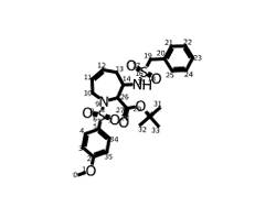 COc1ccc(S(=O)(=O)N2CC=CCC(NS(=O)(=O)Cc3ccccc3)C2C(=O)OC(C)(C)C)cc1